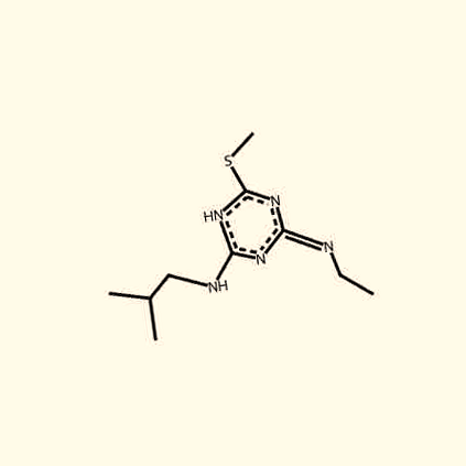 CC/N=c1\nc(NCC(C)C)[nH]c(SC)n1